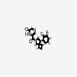 O=C(c1cncc(=O)[nH]1)N1C[C@@H](c2cccc(F)c2F)C2(CCC2)C1